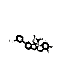 CN1OC2(N=C1N)c1cc(-c3cccc(N)c3)ccc1CC21CCc2c(ccc(F)c2F)C1